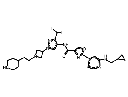 O=C(Nc1cn(C2CN(CCC3CCNCC3)C2)nc1C(F)F)c1coc(-c2ccnc(NCC3CC3)c2)n1